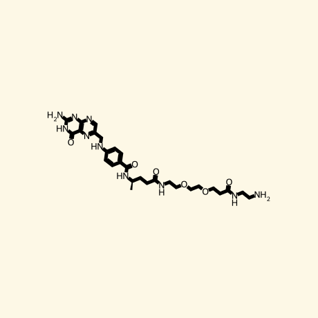 C[C@H](CCC(=O)NCCOCCOCCC(=O)NCCN)NC(=O)c1ccc(NCc2cnc3nc(N)[nH]c(=O)c3n2)cc1